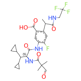 CC(C(=O)NCC(F)(F)F)c1cc(F)c(NC(=O)[C@@H](NC(=O)C(C)(C)C=O)C(C2CC2)C2CC2)cc1C(=O)O